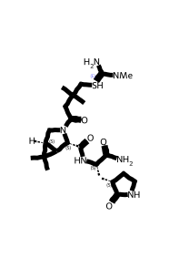 CN/C(N)=[SH]/CC(C)(C)CC(=O)N1C[C@H]2C([C@H]1C(=O)N[C@@H](C[C@@H]1CCNC1=O)C(N)=O)C2(C)C